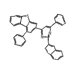 c1ccc(-c2cc(-c3cc(-c4ccccc4)c4c(c3)sc3ccccc34)nc(-c3ccc4ccccc4c3)n2)cc1